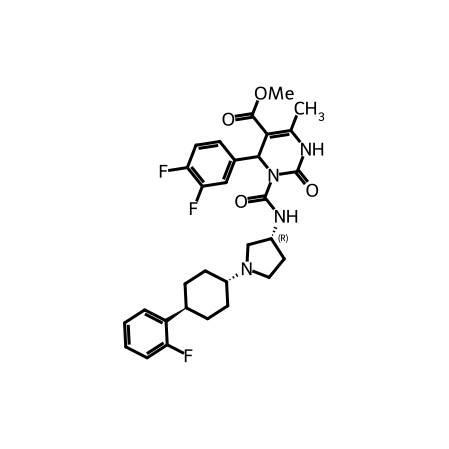 COC(=O)C1=C(C)NC(=O)N(C(=O)N[C@@H]2CCN([C@H]3CC[C@H](c4ccccc4F)CC3)C2)C1c1ccc(F)c(F)c1